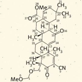 COCOC[C@@]1(C)C(=O)C(C#N)=C[C@]2(C)C3=CC(=O)[C@@H]4[C@@H]5CC(C)(C)CC[C@]5(C(=O)OC)CC[C@@]4(C)[C@]3(C)CC[C@@H]12